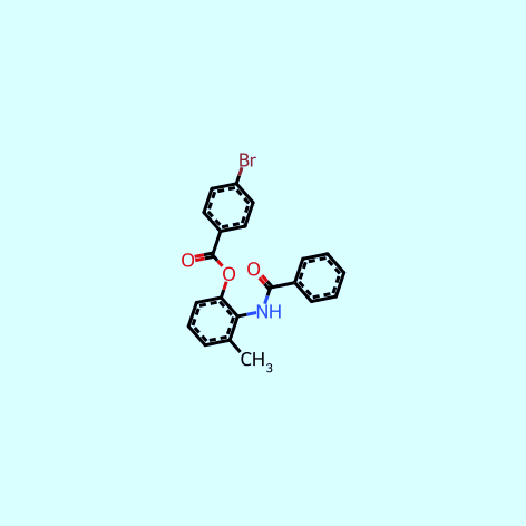 Cc1cccc(OC(=O)c2ccc(Br)cc2)c1NC(=O)c1ccccc1